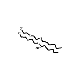 CCCCCCOCCOCC[O-].CCCCCCOCCOCC[O-].[Zn+2]